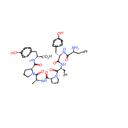 CC(C)C[C@H](NC(=O)[C@H](Cc1ccc(O)cc1)NC(=O)[C@@H](N)CC(C)C)C(=O)N1CCC[C@H]1C(=O)N[C@@H](C)C(=O)N1CCC[C@H]1C(=O)N[C@@H](Cc1ccc(O)cc1)C(=O)O